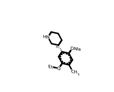 CCOc1cc([C@H]2CCCNC2)c(OC)cc1C